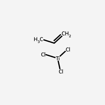 C=CC.[Cl][Ti]([Cl])[Cl]